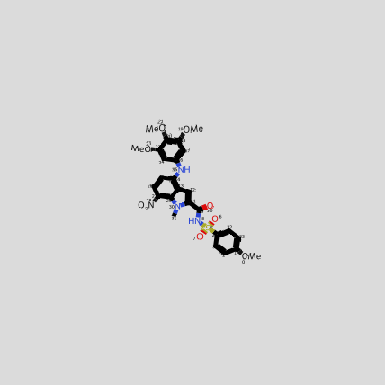 COc1ccc(S(=O)(=O)NC(=O)c2cc3c(Nc4cc(OC)c(OC)c(OC)c4)ccc([N+](=O)[O-])c3n2C)cc1